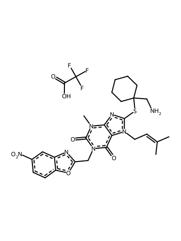 CC(C)=CCn1c(SC2(CN)CCCCC2)nc2c1c(=O)n(Cc1nc3cc([N+](=O)[O-])ccc3o1)c(=O)n2C.O=C(O)C(F)(F)F